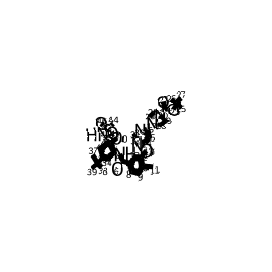 COc1c(NC(=O)c2ccc(C)c(Oc3cc(N4CCN(C(=O)OC(C)(C)C)CC4)ncn3)c2)cc(C(C)(C)C)cc1NS(C)(=O)=O